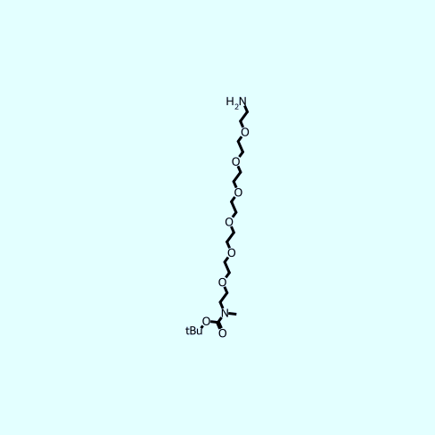 CN(CCOCCOCCOCCOCCOCCOCCN)C(=O)OC(C)(C)C